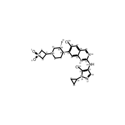 O=S1(=O)CC(N2CC[C@H](c3cc4nc(Nc5cnn(C6CC6)c5Cl)ncc4cc3Cl)[C@@H](F)C2)C1